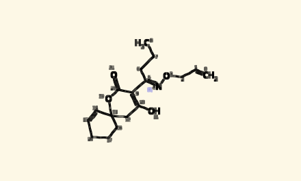 C=CCO/N=C(\CCC)C1=C(O)CC2(C=CCCC2)OC1=O